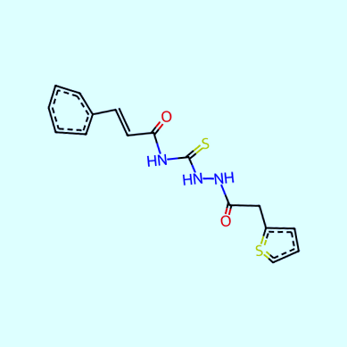 O=C(C=Cc1ccccc1)NC(=S)NNC(=O)Cc1cccs1